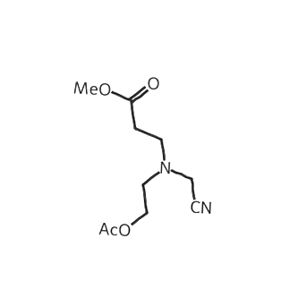 COC(=O)CCN(CC#N)CCOC(C)=O